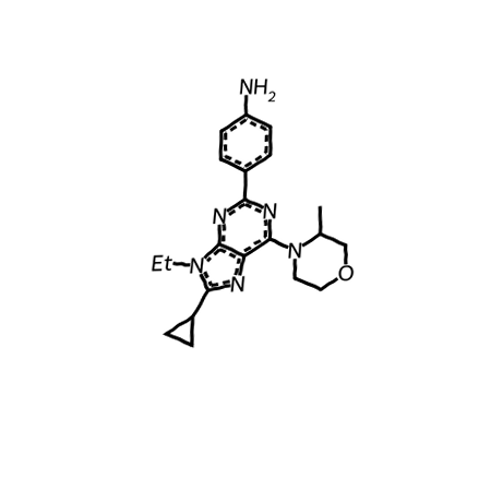 CCn1c(C2CC2)nc2c(N3CCOCC3C)nc(-c3ccc(N)cc3)nc21